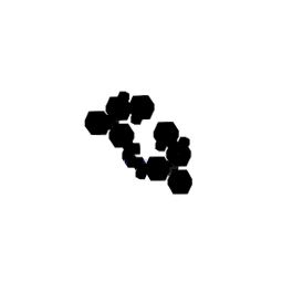 C=C(/C=C\C=C(/C)c1ccc(N(c2ccccc2)c2ccc(C)c(-c3ccccc3C)c2)cc1)c1ccc(N(c2ccccc2)c2ccc(C)c(-c3ccccc3C)c2)cc1